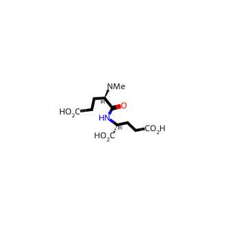 CN[C@H](CCC(=O)O)C(=O)N[C@H](CCC(=O)O)C(=O)O